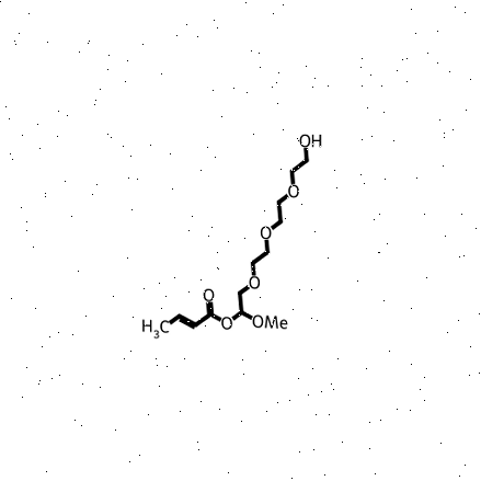 C/C=C/C(=O)OC(COCCOCCOCCO)OC